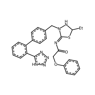 CCC1NN(Cc2ccc(-c3ccccc3-c3nnn[nH]3)cc2)C(=NC(=O)COc2ccccc2)S1